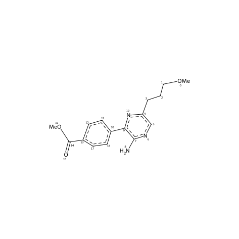 COCCCc1cnc(N)c(-c2ccc(C(=O)OC)cc2)n1